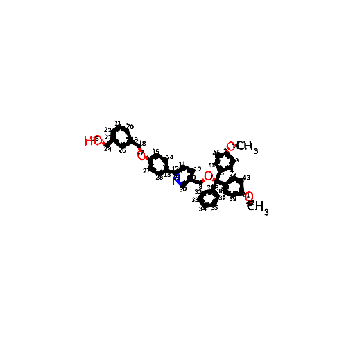 COc1ccc(C(OCc2ccc(-c3ccc(OCc4cccc(CO)c4)cc3)nc2)(c2ccccc2)c2ccc(OC)cc2)cc1